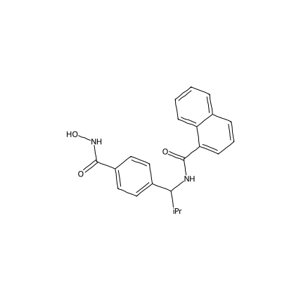 CC(C)C(NC(=O)c1cccc2ccccc12)c1ccc(C(=O)NO)cc1